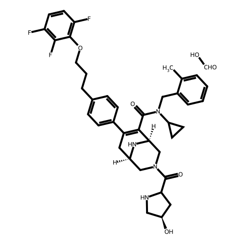 Cc1ccccc1CN(C(=O)C1=C(c2ccc(CCCOc3c(F)ccc(F)c3F)cc2)C[C@@H]2CN(C(=O)C3C[C@@H](O)CN3)C[C@H]1N2)C1CC1.O=CO